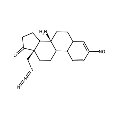 [N-]=[N+]=NC[C@]12CCC3C4C=CC(N=O)=CC4CC[C@@]3(N)C1CCC2=O